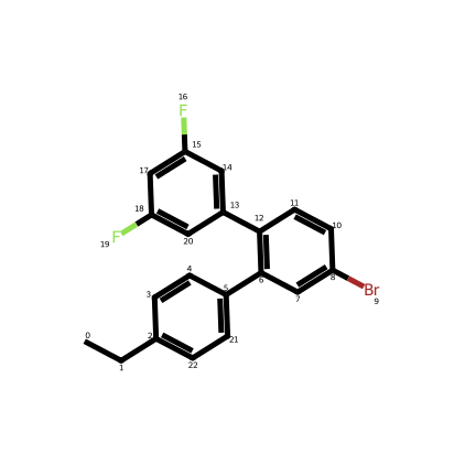 CCc1ccc(-c2cc(Br)ccc2-c2cc(F)cc(F)c2)cc1